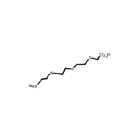 CSCCSCCSCCSCC(=O)O